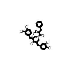 COC(Cc1ccccc1)C(=O)N1C/C(=C\c2ccc(Cl)c(Cl)c2)C(=O)/C(=C/c2ccc(Cl)c(Cl)c2)C1